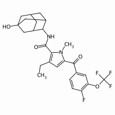 CCc1cc(C(=O)c2ccc(F)c(OC(F)(F)F)c2)n(C)c1C(=O)NC1C2CC3CC1CC(O)(C3)C2